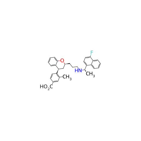 Cc1cc(C(=O)O)ccc1[C@@H]1C[C@H](CCCN[C@H](C)c2ccc(F)c3ccccc23)Oc2ccccc21